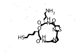 C[C@@]12CSC(=N1)C1=CCC(=N1)CNC(=O)C[C@@H](/C=C/CCS)OC(=O)[C@H](CCCN)NC2=O